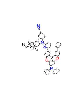 CC(C)(C)c1ccc2c(c1)c1cc(C#N)ccc1n2-c1cccc(-c2ccc3c(c2)B2c4cc(-c5ccccc5)ccc4Oc4cc(-n5c6ccccc6c6ccccc65)cc(c42)O3)n1